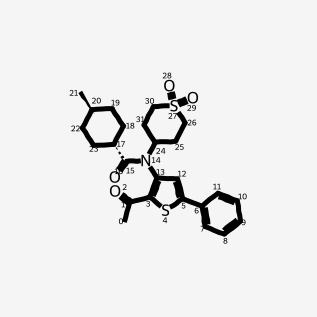 CC(=O)c1sc(-c2ccccc2)cc1N(C(=O)[C@H]1CC[C@H](C)CC1)C1CCS(=O)(=O)CC1